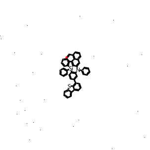 C1=Cc2cccc3cc4c(c(c23)C1)[Si](c1ccccc1)(c1ccccc1)c1ccc(-c2cccc3c2sc2ccccc23)cc1N4c1ccccc1